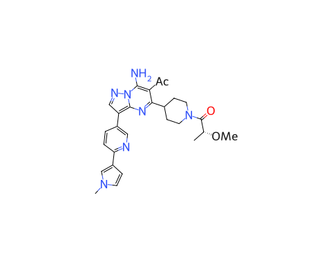 CO[C@H](C)C(=O)N1CCC(c2nc3c(-c4ccc(-c5ccn(C)c5)nc4)cnn3c(N)c2C(C)=O)CC1